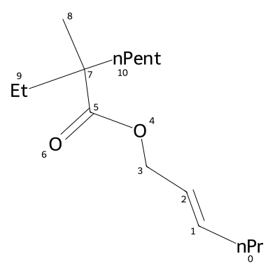 CCCC=CCOC(=O)C(C)(CC)CCCCC